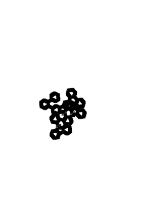 c1ccc(-c2ccccc2-c2ccc3c(c2)c2cc(-c4ccccc4-c4ccccc4)ccc2n3-c2c(-c3ccccc3-n3c4ccccc4c4ccccc43)cccc2-n2c3ccccc3c3ccccc32)cc1